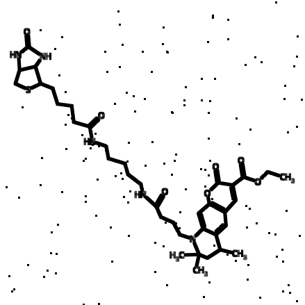 CCOC(=O)c1cc2cc3c(cc2oc1=O)N(CCCC(=O)NCCCCCNC(=O)CCCCC1SCC2NC(=O)NC21)C(C)(C)CC3C